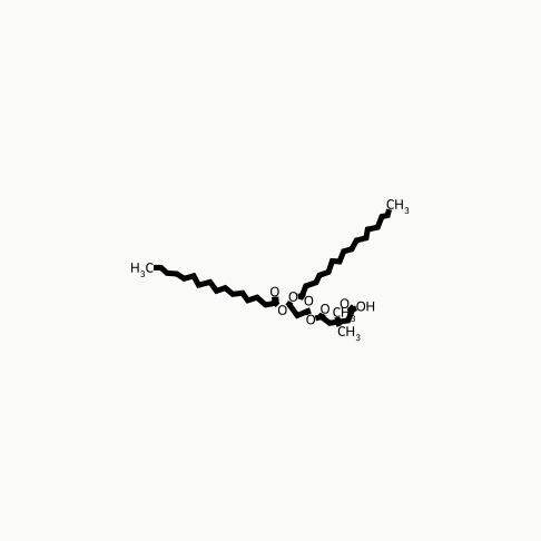 CCCCCCCCCCCCCCCC(=O)OC(CCOC(=O)CC(C)(C)CC(=O)O)OC(=O)CCCCCCCCCCCCCCC